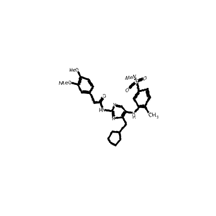 CNS(=O)(=O)c1ccc(C)c(Nc2cnc(NC(=O)Cc3ccc(OC)c(OC)c3)nc2CC2CCCCC2)c1